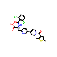 Cc1cc(C(=O)N2CC=C(c3ccc(C[C@H](NC(=O)c4c(Cl)cccc4Cl)C(=O)O)nc3)CC2)c(C)s1